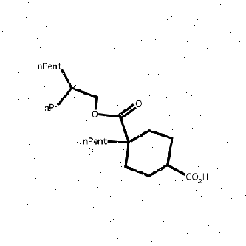 CCCCCC(CCC)COC(=O)C1(CCCCC)CCC(C(=O)O)CC1